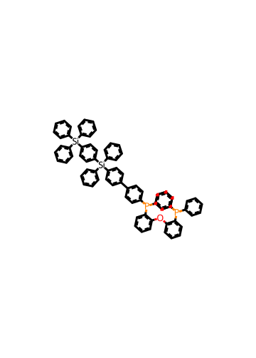 c1ccc(P(c2ccccc2)c2ccccc2Oc2ccccc2P(c2ccccc2)c2ccc(-c3ccc([Si](c4ccccc4)(c4ccccc4)c4ccc([Si](c5ccccc5)(c5ccccc5)c5ccccc5)cc4)cc3)cc2)cc1